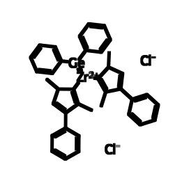 CC1=[C]([Zr+2]([C]2=C(C)C(c3ccccc3)=CC2C)=[Ge]([c]2ccccc2)[c]2ccccc2)C(C)C=C1c1ccccc1.[Cl-].[Cl-]